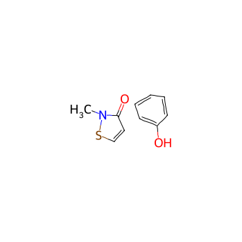 Cn1sccc1=O.Oc1ccccc1